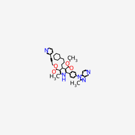 CCOC(=O)C1=C(c2ccc(-n3c(C)nc4cnccc43)cc2)NC(C)=C(C(=O)OCC#Cc2cccnc2)C1CCCC1CCCCC1